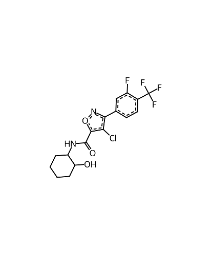 O=C(NC1CCCCC1O)c1onc(-c2ccc(C(F)(F)F)c(F)c2)c1Cl